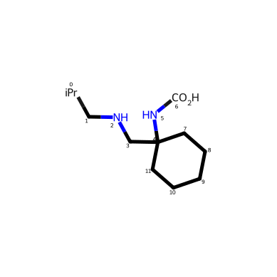 CC(C)CNCC1(NC(=O)O)CCCCC1